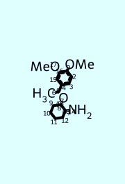 COc1ccc(C(C)O[C@@H]2CCCC[C@H]2N)cc1OC